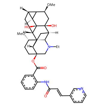 CCN1C[C@]2(OC(=O)c3ccccc3NC(=O)/C=C/c3cccnc3)CC[C@H](OC)[C@]34C1[C@@H](C[C@H]23)[C@@]1(O)C[C@H](OC)C2[C@H]3C[C@@H]4[C@]1(O)[C@H]23